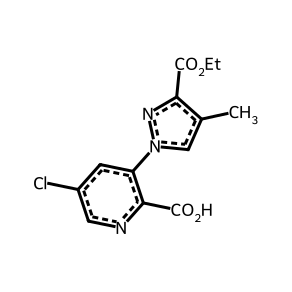 CCOC(=O)c1nn(-c2cc(Cl)cnc2C(=O)O)cc1C